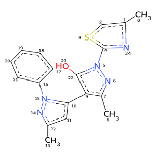 Cc1csc(-n2nc(C)c(-c3cc(C)nn3-c3ccccc3)c2O)n1